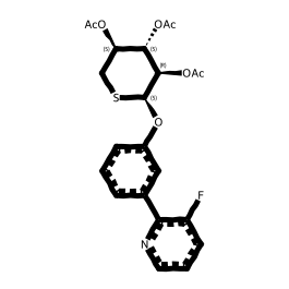 CC(=O)O[C@@H]1[C@@H](OC(C)=O)[C@@H](Oc2cccc(-c3ncccc3F)c2)SC[C@H]1OC(C)=O